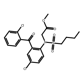 CCCCS(=O)(=O)N(CC(=O)OC)c1ccc(Cl)cc1C(=O)c1ccccc1Cl